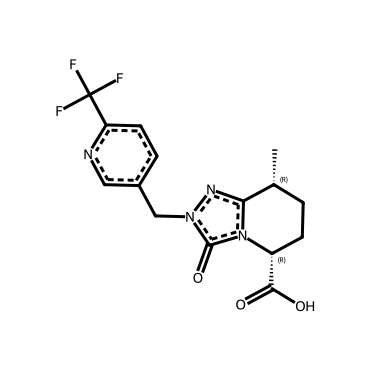 C[C@@H]1CC[C@H](C(=O)O)n2c1nn(Cc1ccc(C(F)(F)F)nc1)c2=O